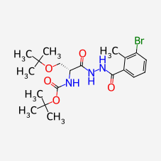 Cc1c(Br)cccc1C(=O)NNC(=O)[C@@H](COC(C)(C)C)NC(=O)OC(C)(C)C